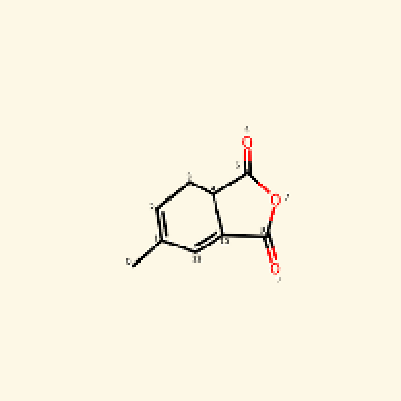 CC1=CCC2C(=O)OC(=O)C2=C1